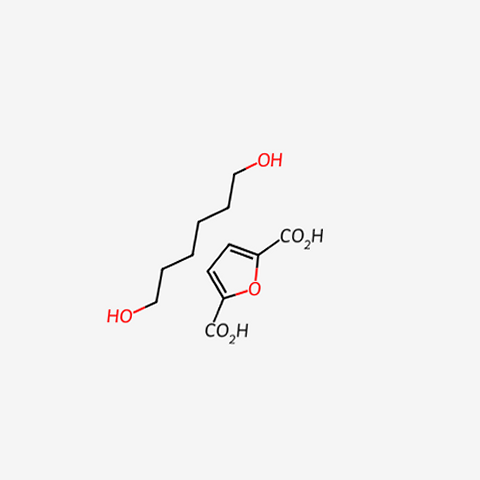 O=C(O)c1ccc(C(=O)O)o1.OCCCCCCO